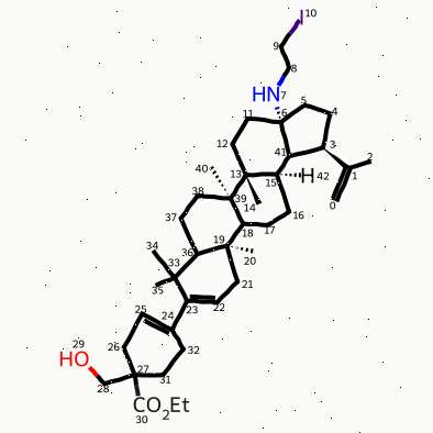 C=C(C)[C@@H]1CC[C@]2(NCCI)CC[C@]3(C)[C@H](CCC4[C@@]5(C)CC=C(C6=CCC(CO)(C(=O)OCC)CC6)C(C)(C)C5CC[C@]43C)C12